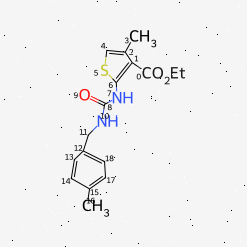 CCOC(=O)c1c(C)csc1NC(=O)NCc1ccc(C)cc1